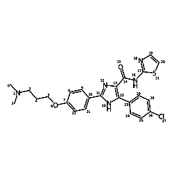 CN(C)CCCOc1ccc(-c2nc(C(=O)Nc3nccs3)c(-c3ccc(Cl)cc3)[nH]2)cc1